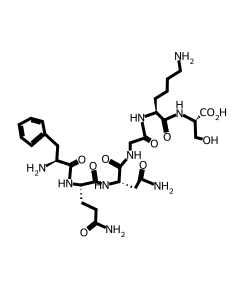 NCCCC[C@H](NC(=O)CNC(=O)[C@H](CC(N)=O)NC(=O)[C@H](CCC(N)=O)NC(=O)[C@@H](N)Cc1ccccc1)C(=O)N[C@@H](CO)C(=O)O